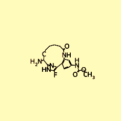 COC(=O)Nc1ccc2c(c1)NC(=O)CCCCC[C@H](N)c1nc-2c(F)[nH]1